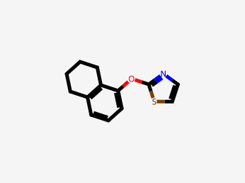 c1cc2c(c(Oc3nccs3)c1)CCCC2